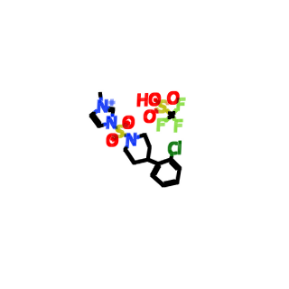 C[n+]1ccn(S(=O)(=O)N2CCC(c3ccccc3Cl)CC2)c1.O=S(=O)(O)C(F)(F)F